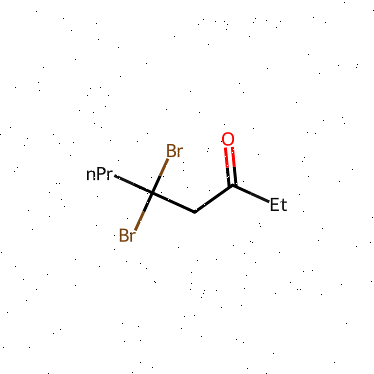 CCCC(Br)(Br)CC(=O)CC